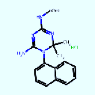 CCCCCCCCNC1=NC(C)(C)N(c2cccc3ccccc23)C(N)=N1.Cl